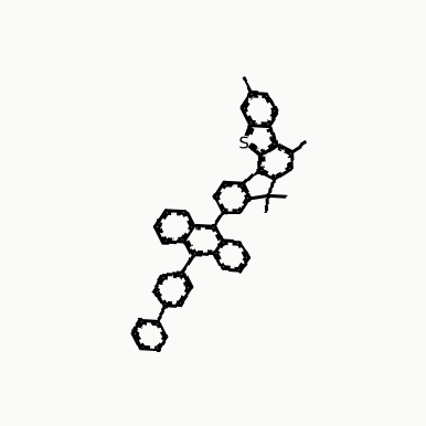 Cc1ccc2c(c1)sc1c3c(cc(C)c12)C(C)(C)c1cc(-c2c4ccccc4c(-c4ccc(-c5ccccc5)cc4)c4ccccc24)ccc1-3